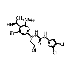 CNc1nc(N(CCO)NC(=O)Nc2cc(Cl)c(Cl)s2)cc(C(C)C)c1C(C)=N